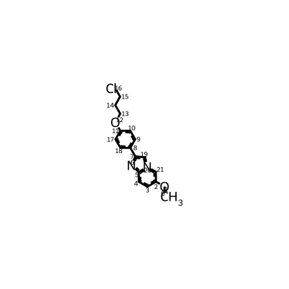 COc1ccc2nc(-c3ccc(OCCCCl)cc3)cn2c1